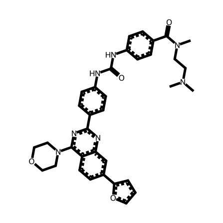 CN(C)CCN(C)C(=O)c1ccc(NC(=O)Nc2ccc(-c3nc(N4CCOCC4)c4ccc(-c5ccco5)cc4n3)cc2)cc1